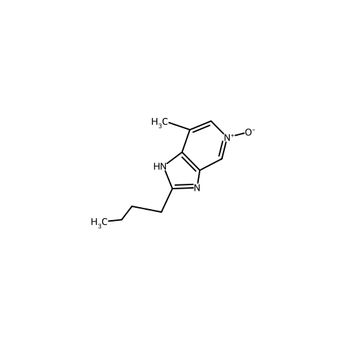 CCCCc1nc2c[n+]([O-])cc(C)c2[nH]1